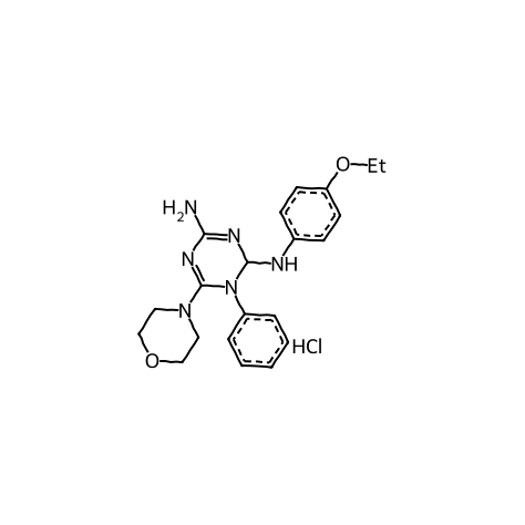 CCOc1ccc(NC2N=C(N)N=C(N3CCOCC3)N2c2ccccc2)cc1.Cl